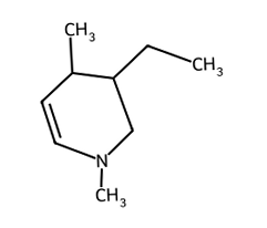 CCC1CN(C)C=CC1C